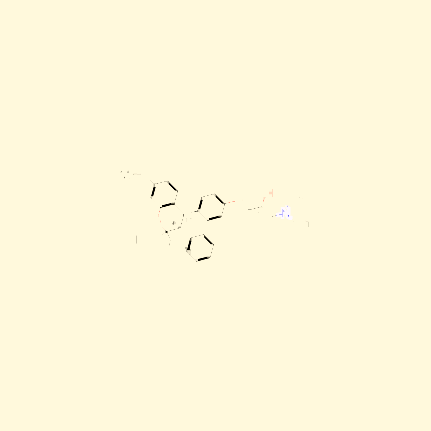 CCCN(CCC)C[C@H](O)COc1ccc([C@@H]2c3ccc(OC)cc3OC(C)(C)[C@H]2c2ccccc2)cc1